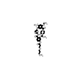 CCCCOCCC(=O)Oc1ccc(C(=O)Nc2ncc(Sc3cc(C(=O)N4CCN(C(C)=O)CC4)c(OC)cc3C)s2)cc1